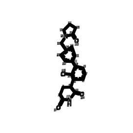 O=C1CCC(c2cccc(-c3ccc(CN4CCCC4=O)cc3)c2Cl)C(=O)N1